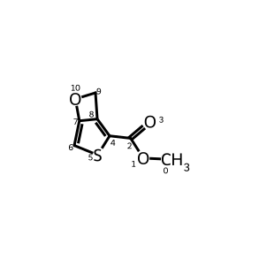 COC(=O)c1scc2c1CO2